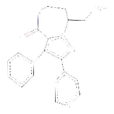 COCC1CCNC(=O)c2c(-c3ccccc3)c(-c3ccncc3)nn21